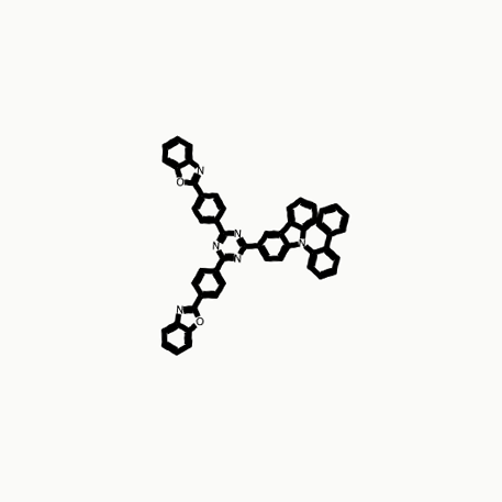 c1ccc(-c2ccccc2-n2c3ccccc3c3cc(-c4nc(-c5ccc(-c6nc7ccccc7o6)cc5)nc(-c5ccc(-c6nc7ccccc7o6)cc5)n4)ccc32)cc1